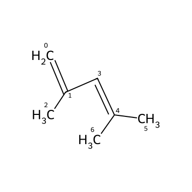 C=C(C)C=C(C)C